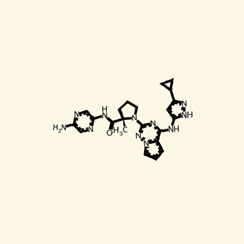 C[C@@]1(C(=O)Nc2cnc(N)cn2)CCCN1c1nc(Nc2cc(C3CC3)n[nH]2)c2cccn2n1